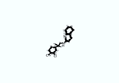 CC(C)(CNc1ccc2ccccc2n1)c1ccc(Cl)c(Cl)c1